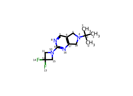 CC(C)(C)N1Cc2cnc(N3CC(F)(F)C3)nc2C1